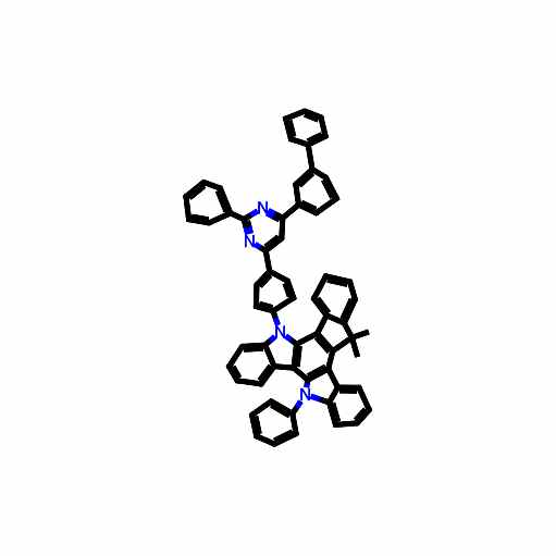 CC1(C)c2ccccc2-c2c1c1c3ccccc3n(-c3ccccc3)c1c1c3ccccc3n(-c3ccc(-c4cc(-c5cccc(-c6ccccc6)c5)nc(-c5ccccc5)n4)cc3)c21